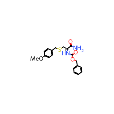 COc1ccc(CSC[C@H](NC(=O)OCc2ccccc2)C(N)=O)cc1